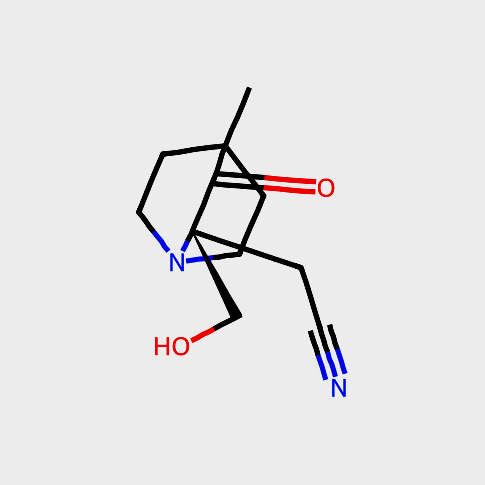 CC12CCN(CC1)[C@@](CO)(CC#N)C2=O